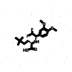 COc1ccc([C@H](N[C@@H](CCC(C)(C)C)C(=O)O)C(F)F)cc1OC